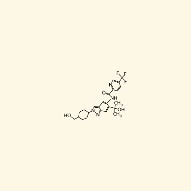 CC(C)(O)c1cc2nn(C3CCC(CO)CC3)cc2cc1NC(=O)c1ccc(C(F)(F)F)cn1